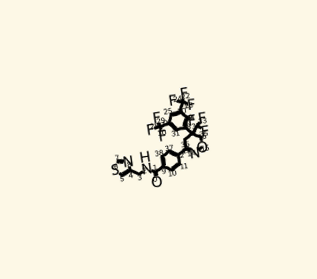 O=C(NCc1cscn1)c1ccc(C2=NOCC(c3cc(C(F)(F)F)cc(C(F)(F)F)c3)(C(F)(F)F)C2)cc1